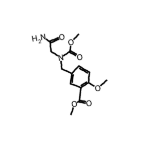 COC(=O)c1cc(CN(CC(N)=O)C(=O)OC)ccc1OC